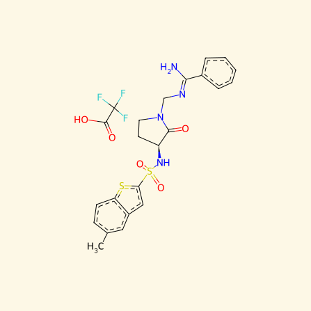 Cc1ccc2sc(S(=O)(=O)N[C@H]3CCN(CN=C(N)c4ccccc4)C3=O)cc2c1.O=C(O)C(F)(F)F